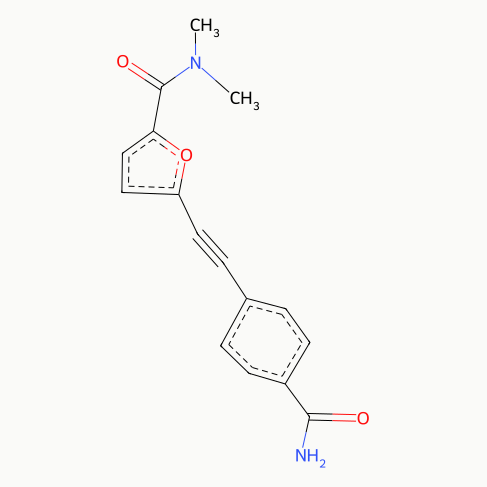 CN(C)C(=O)c1ccc(C#Cc2ccc(C(N)=O)cc2)o1